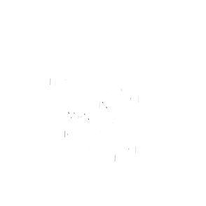 CNc1cc(C(C)(F)c2ccc(O)c(NC(=O)c3cccc(C)c3)c2)ccc1O